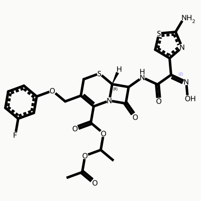 CC(=O)OC(C)OC(=O)C1=C(COc2cccc(F)c2)CS[C@@H]2C(NC(=O)/C(=N\O)c3csc(N)n3)C(=O)N12